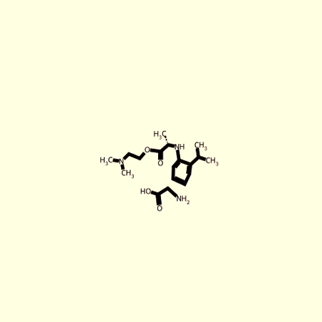 CC(C)c1ccccc1N[C@@H](C)C(=O)OCCN(C)C.NCC(=O)O